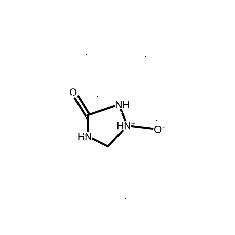 O=C1NC[NH+]([O-])N1